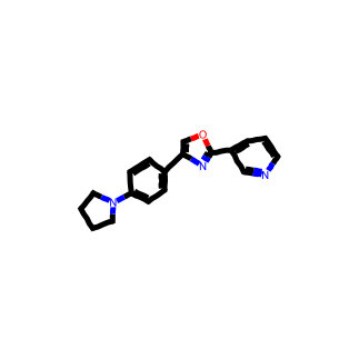 c1cncc(-c2nc(-c3ccc(N4CCCC4)cc3)co2)c1